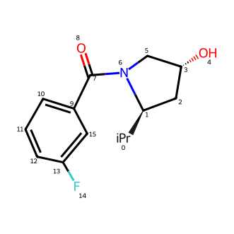 CC(C)[C@@H]1C[C@@H](O)CN1C(=O)c1cccc(F)c1